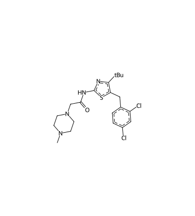 CN1CCN(CC(=O)Nc2nc(C(C)(C)C)c(Cc3ccc(Cl)cc3Cl)s2)CC1